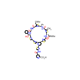 CNC(=O)C[C@@H]1NC(=O)c2csc(n2)-c2ccc(-c3nc(NC(=O)c4ccnc(C(=O)O)c4)cs3)nc2-c2csc(n2)-c2csc(n2)[C@H]([C@@H](O)c2ccccc2)NC(=O)CNC(=O)c2nc(sc2COC)[C@H](C(C)C)NC(=O)c2nc1sc2C